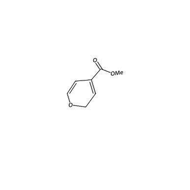 COC(=O)C1=CCOC=C1